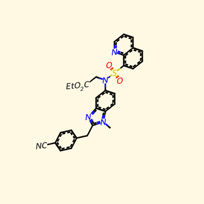 CCOC(=O)CN(c1ccc2c(c1)nc(Cc1ccc(C#N)cc1)n2C)S(=O)(=O)c1cccc2cccnc12